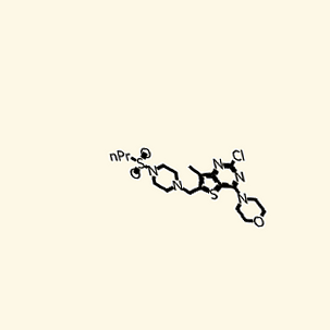 CCCS(=O)(=O)N1CCN(Cc2sc3c(N4CCOCC4)nc(Cl)nc3c2C)CC1